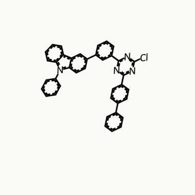 Clc1nc(-c2ccc(-c3ccccc3)cc2)nc(-c2cccc(-c3ccc4c(c3)c3ccccc3n4-c3ccccc3)c2)n1